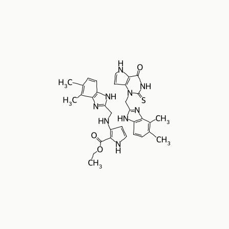 CCOC(=O)c1[nH]ccc1NCc1nc2c(C)c(C)ccc2[nH]1.Cc1ccc2[nH]c(Cn3c(=S)[nH]c(=O)c4[nH]ccc43)nc2c1C